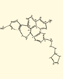 Oc1ccc2c(c1)COC(c1ccc(OCCN3CCCC3)cc1)c1c-2ccc2cc(O)ccc12